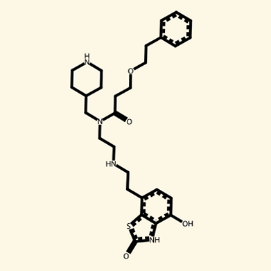 O=C(CCOCCc1ccccc1)N(CCNCCc1ccc(O)c2[nH]c(=O)sc12)CC1CCNCC1